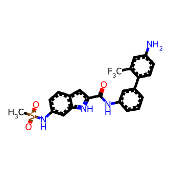 CS(=O)(=O)Nc1ccc2cc(C(=O)Nc3cccc(-c4ccc(N)cc4C(F)(F)F)c3)[nH]c2c1